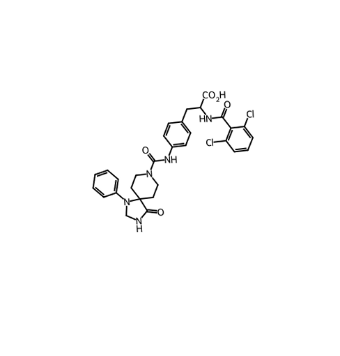 O=C(NC(Cc1ccc(NC(=O)N2CCC3(CC2)C(=O)NCN3c2ccccc2)cc1)C(=O)O)c1c(Cl)cccc1Cl